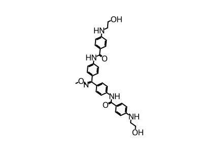 CON=C(c1ccc(NC(=O)c2ccc(NCCO)cc2)cc1)c1ccc(NC(=O)c2ccc(NCCO)cc2)cc1